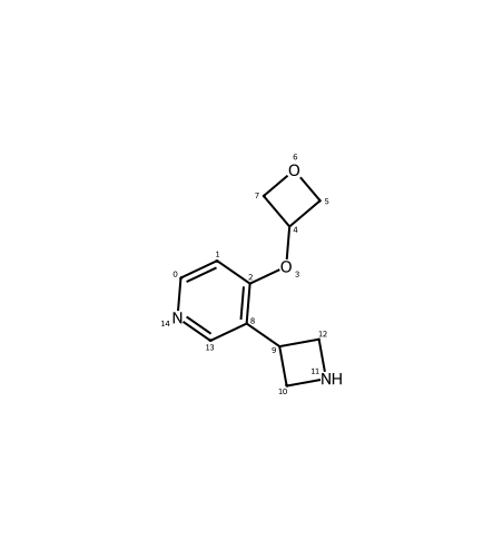 c1cc(OC2COC2)c(C2CNC2)cn1